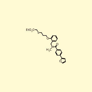 CCOC(=O)CSCCCOc1ccccc1CN(C)C(=O)c1ccc(-c2ccco2)cc1